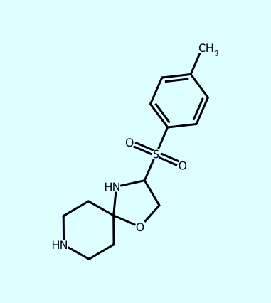 Cc1ccc(S(=O)(=O)C2COC3(CCNCC3)N2)cc1